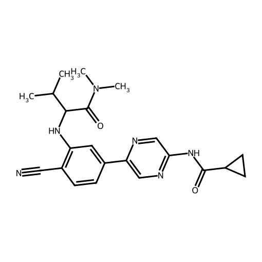 CC(C)C(Nc1cc(-c2cnc(NC(=O)C3CC3)cn2)ccc1C#N)C(=O)N(C)C